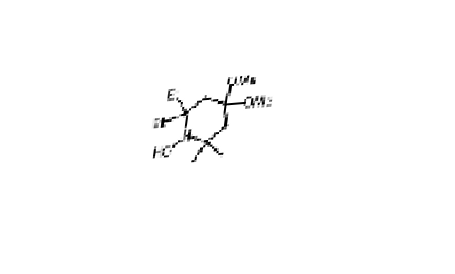 CCC1(CC)CC(OC)(OC)CC(C)(C)N1O